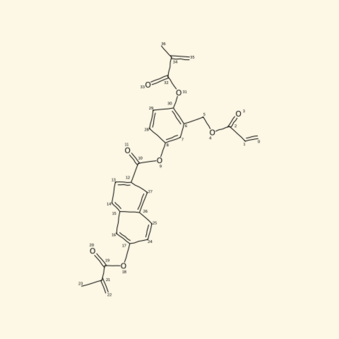 C=CC(=O)OCc1cc(OC(=O)c2ccc3cc(OC(=O)C(=C)C)ccc3c2)ccc1OC(=O)C(=C)C